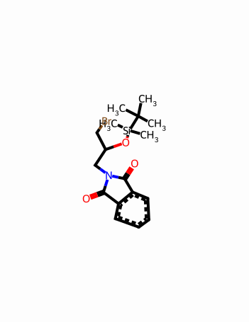 CC(C)(C)[Si](C)(C)OC(CBr)CN1C(=O)c2ccccc2C1=O